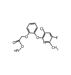 CCCOC(=O)COc1ccccc1Oc1nc(C)c(F)cc1Cl